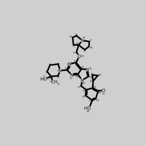 CC1(O)CCCN(c2nc(OCC34CCCN3CCC4)c3ncn(Cc4cc(O)cc(Cl)c4C4CC4)c3n2)C1